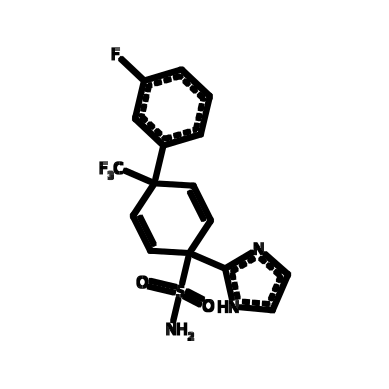 NS(=O)(=O)C1(c2ncc[nH]2)C=CC(c2cccc(F)c2)(C(F)(F)F)C=C1